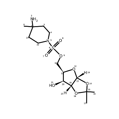 CC1(N)CCN(S(=O)(=O)OC[C@H]2O[C@@H]3OC(C)(C)O[C@@H]3[C@H]2O)CC1